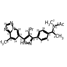 CC(=O)N(C)C(C)c1ccc(-c2n[nH]c(-c3cc(C)c4ncnn4c3)c2C(C)C)cc1